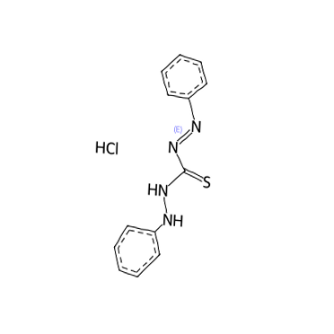 Cl.S=C(/N=N/c1ccccc1)NNc1ccccc1